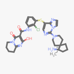 C[C@@]1(N)CCCC12CCN(c1ncc(Sc3cccc(NC(=O)c4c(O)nc5n(c4=O)CCCC5)c3Cl)c3nccn13)CC2